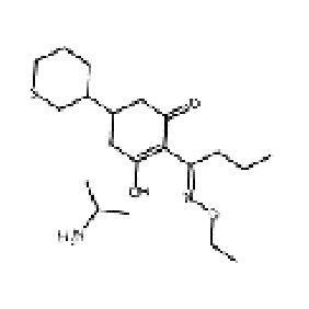 CC(C)N.CCC/C(=N\OCC)C1=C(O)CC(C2CCCSC2)CC1=O